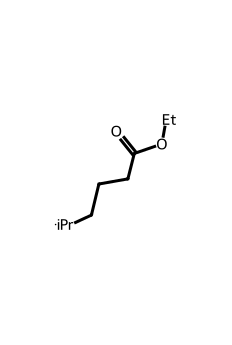 CCOC(=O)CCC[C](C)C